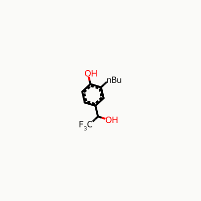 CCCCc1cc(C(O)C(F)(F)F)ccc1O